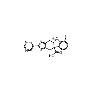 Cc1c(F)cccc1C1(C(=O)O)CCc2nc(-c3cncnc3)sc2C1